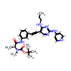 CCCNc1nc(Nc2ccncc2)ncc1C#Cc1cccc(NC(=O)[C@H](C)N(C)C(=O)OC(C)(C)C)c1